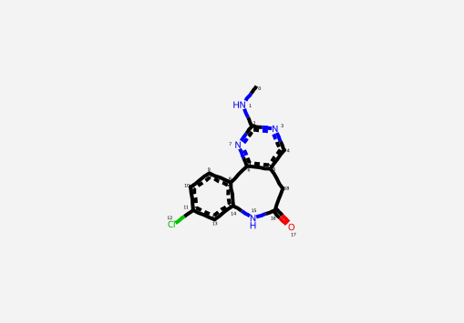 CNc1ncc2c(n1)-c1ccc(Cl)cc1NC(=O)C2